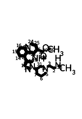 CNCCN1CCCC(n2ncc(-c3ccccc3)c2Nc2cnccc2C(=O)OC)C1